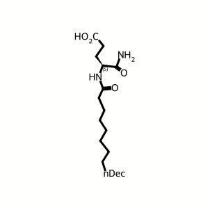 CCCCCCCCCCCCCCCCCC(=O)N[C@@H](CCC(=O)O)C(N)=O